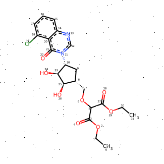 CCOC(=O)C(OC[C@H]1C[C@@H](n2cnc3cccc(Cl)c3c2=O)[C@H](O)[C@@H]1O)C(=O)OCC